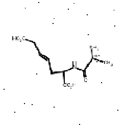 C[C@H](N)C(=O)NC(CC=CCC(=O)O)C(=O)O